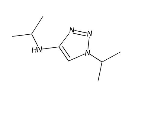 CC(C)Nc1cn(C(C)C)nn1